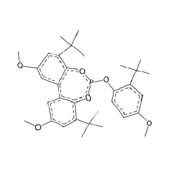 COc1ccc(Op2oc3c(C(C)(C)C)cc(OC)cc3c3cc(OC)cc(C(C)(C)C)c3o2)c(C(C)(C)C)c1